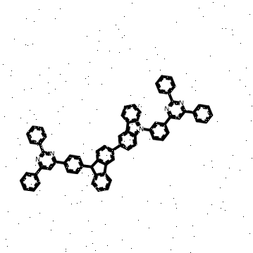 c1ccc(-c2cc(-c3ccc(C4c5ccccc5-c5cc(-c6ccc7c(c6)c6ccccc6n7-c6cccc(-c7cc(-c8ccccc8)nc(-c8ccccc8)n7)c6)ccc54)cc3)nc(-c3ccccc3)n2)cc1